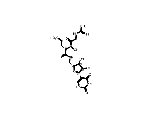 N=C(N)NCC(=O)N(O)[C@@H](CCC(=O)O)C(=O)NC[C@H]1O[C@@H](c2c[nH]c(=O)[nH]c2=O)[C@H](O)[C@@H]1O